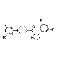 N#Cc1nccc(N2CCC(C(=O)N3N=CCC3c3cc(F)cc(F)c3)CC2)n1